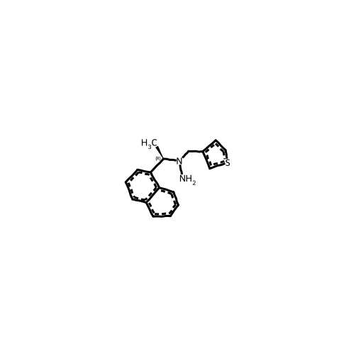 C[C@H](c1cccc2ccccc12)N(N)Cc1ccsc1